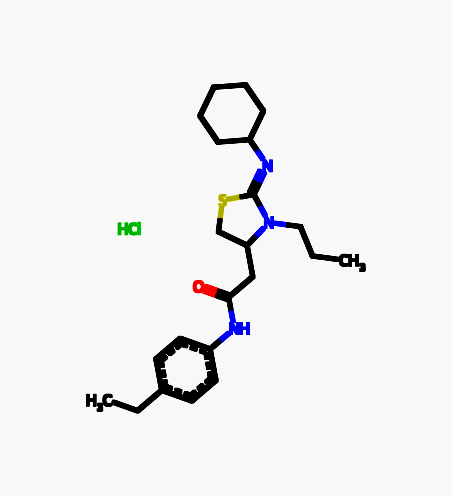 CCCN1C(=NC2CCCCC2)SCC1CC(=O)Nc1ccc(CC)cc1.Cl